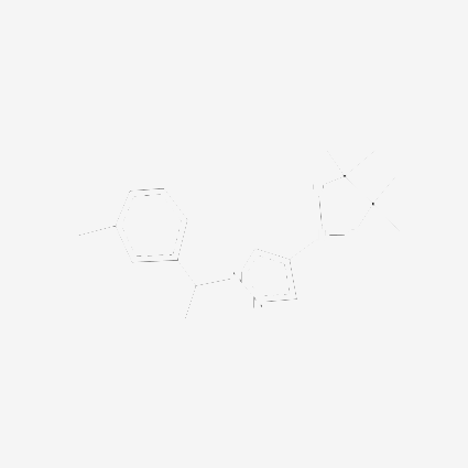 CC(c1cccc(F)c1)n1cc(B2OC(C)(C)C(C)(C)O2)cn1